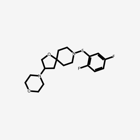 Fc1ccc(F)c(SN2CCC3(CC2)CC(N2CCOCC2)CO3)c1